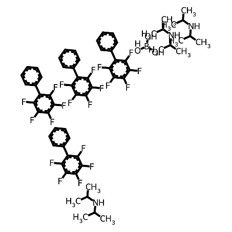 CC(C)NC(C)C.CC(C)NC(C)C.CC(C)NC(C)C.Fc1c(F)c(F)c(-c2ccccc2)c(F)c1F.Fc1c(F)c(F)c(-c2ccccc2)c(F)c1F.Fc1c(F)c(F)c(-c2ccccc2)c(F)c1F.Fc1c(F)c(F)c(-c2ccccc2)c(F)c1F.OB(O)O